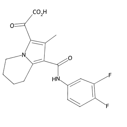 Cc1c(C(=O)Nc2ccc(F)c(F)c2)c2n(c1C(=O)C(=O)O)CCCC2